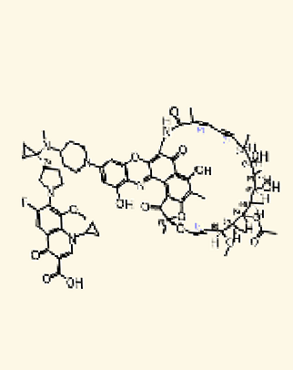 COc1c(N2CC[C@@H](C3(N(C)C4CCN(c5cc(O)c6nc7c8c9c%10c(C)c(O)c8c(=O)c(c-7oc6c5)NC(=O)/C(C)=C\C=C\[C@H](C)[C@H](O)[C@@H](C)[C@@H](O)[C@@H](C)[C@H](OC(C)=O)[C@H](C)[C@@H](OC)/C=C/O[C@@](C)(O%10)C9=O)CC4)CC3)C2)c(F)cc2c(=O)c(C(=O)O)cn(C3CC3)c12